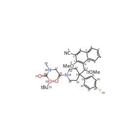 COc1c(C#N)cc2ccccc2c1C(OC)C1(c2ccc(F)cc2)CCN(C(=O)CN(C)C(=O)OC(C)(C)C)CC1